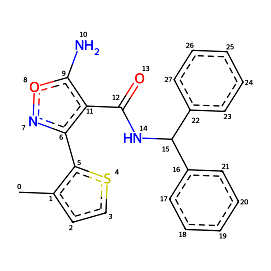 Cc1ccsc1-c1noc(N)c1C(=O)NC(c1ccccc1)c1ccccc1